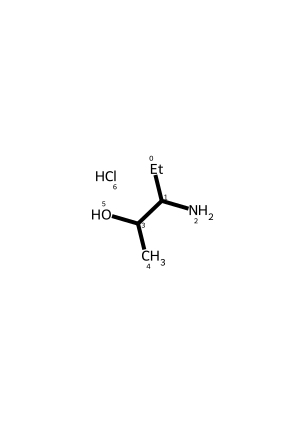 CCC(N)C(C)O.Cl